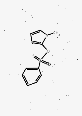 Cn1ccnc1OS(=O)(=S)c1ccccc1